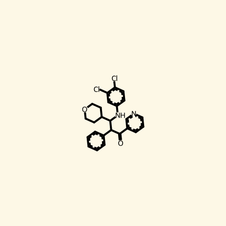 O=C(c1cccnc1)C(c1ccccc1)C(Nc1ccc(Cl)c(Cl)c1)C1CCOCC1